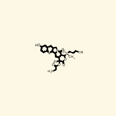 CCC1(OC(=O)CN)C(=O)OC([Si](C)(C)CCCC#N)c2c1cc1n(c2=O)Cc2cc3cc(O)ccc3nc2-1